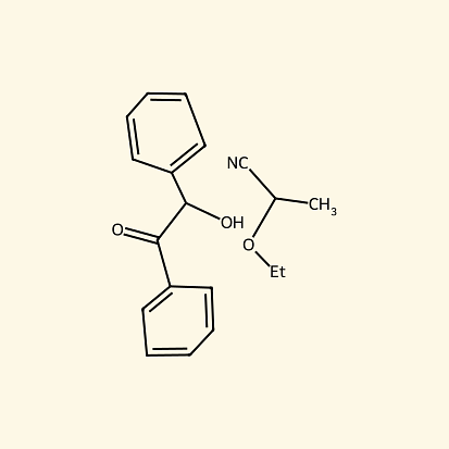 CCOC(C)C#N.O=C(c1ccccc1)C(O)c1ccccc1